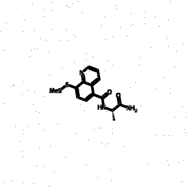 CSSc1ccc(C(=O)N[C@@H](C)C(N)=O)c2cccnc12